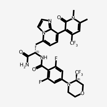 Cc1cc(C(F)(F)F)c(-c2ccc(C[C@H](NC(=O)c3c(F)cc(N4CCOC[C@@H]4C(F)(F)F)cc3F)C(N)=O)n3ccnc23)c(=O)n1C